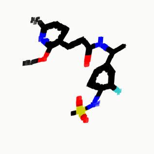 CCCCOc1nc(C(F)(F)F)ccc1C=CC(=O)NC(C)c1ccc(NS(C)(=O)=O)c(F)c1